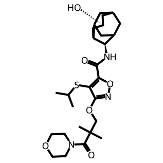 CC(C)Sc1c(OCC(C)(C)C(=O)N2CCOCC2)noc1C(=O)N[C@@H]1C2CC3CC(C2)C1C[C@@H](O)C3